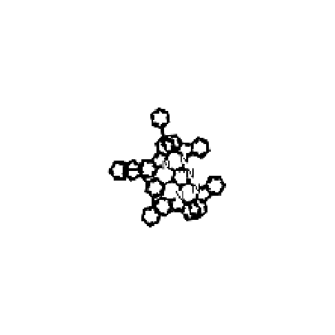 c1ccc(-c2cc(-c3ccccc3)cc(-c3c(-n4c5ccccc5c5ccccc54)c(-n4c5ccccc5c5ccccc54)nc(-n4c5ccccc5c5ccccc54)c3-n3c4ccc(-c5ccccc5)cc4c4cc(-c5ccccc5)ccc43)c2)cc1